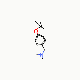 CN(C)Cc1ccc(O[Si](C)(C)C)cc1